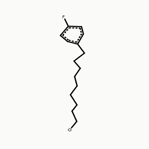 [O]CCCCCCCCCc1ccc(F)cc1